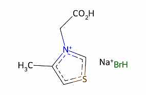 Br.Cc1csc[n+]1CC(=O)O.[Na+]